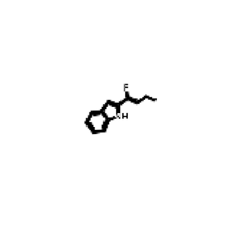 CC/C=C(\F)c1cc2ccccc2[nH]1